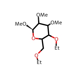 CCOCC1O[C@@H](OC)C(OC)C(OC)C1OCC